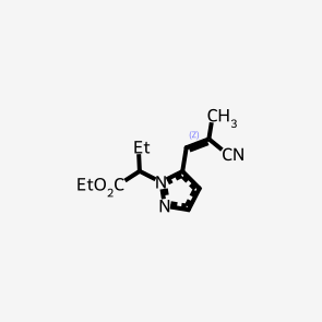 CCOC(=O)C(CC)n1nccc1/C=C(/C)C#N